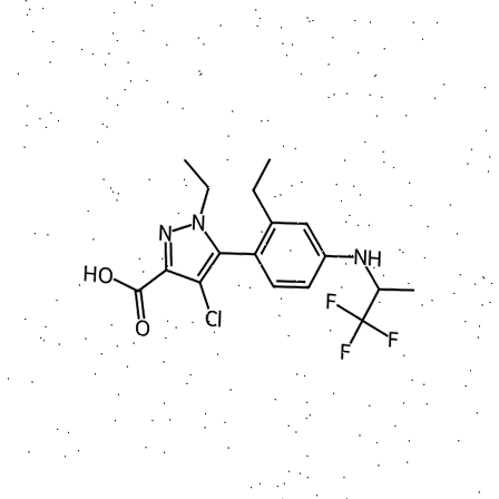 CCc1cc(NC(C)C(F)(F)F)ccc1-c1c(Cl)c(C(=O)O)nn1CC